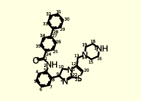 O=C(Nc1ccccc1C1CN2C(CN3CCNCC3)=CSC2=N1)c1ccc(-c2ccccc2)cc1